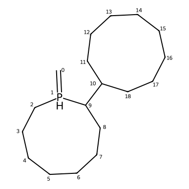 C=[PH]1CCCCCCCC1C1CCCCCCCC1